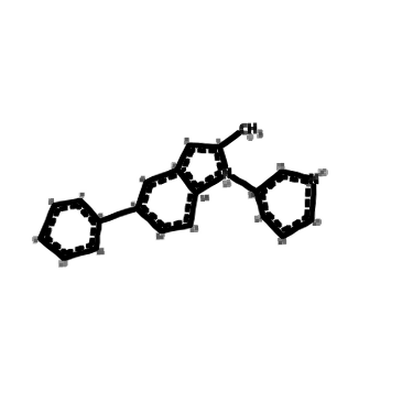 Cc1cc2cc(-c3ccccc3)ccc2n1-c1cccnc1